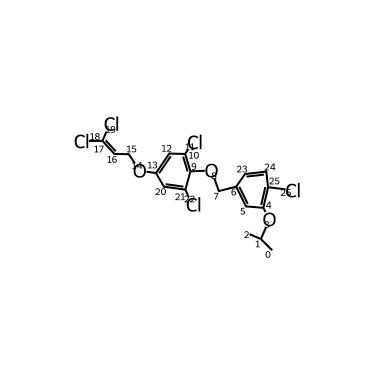 CC(C)Oc1cc(COc2c(Cl)cc(OCC=C(Cl)Cl)cc2Cl)ccc1Cl